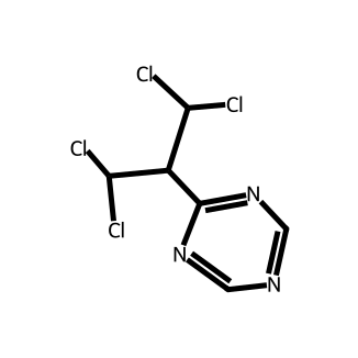 ClC(Cl)C(c1ncncn1)C(Cl)Cl